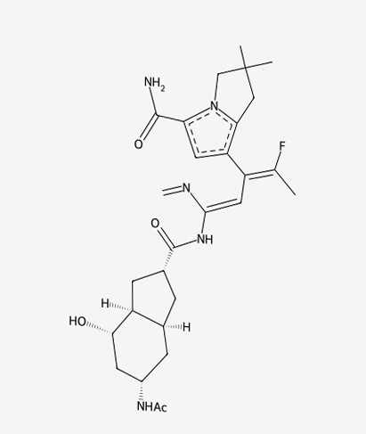 C=N/C(=C\C(=C(/C)F)c1cc(C(N)=O)n2c1CC(C)(C)C2)NC(=O)[C@@H]1C[C@H]2C[C@H](NC(C)=O)C[C@H](O)[C@H]2C1